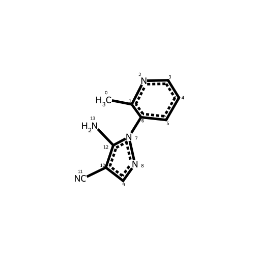 Cc1ncccc1-n1ncc(C#N)c1N